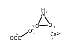 O=C([O-])[O-].[Ca+2].[O]1[O][AlH]1